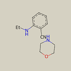 C1COCCN1.CCNc1ccccc1C#N